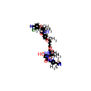 Cc1ncsc1-c1ccc(CNC(=O)[C@@H]2C[C@@H](O)CN2C(=O)[C@@H](NC(=O)COCCCC[C@@H](C)Oc2ccc(C(=O)N[C@H]3C(C)(C)[C@H](Oc4ccc(C#N)c(Cl)c4)C3(C)C)cc2)C(C)(C)C)cc1